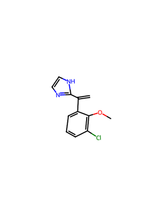 C=C(c1ncc[nH]1)c1cccc(Cl)c1OC